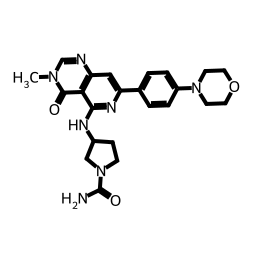 Cn1cnc2cc(-c3ccc(N4CCOCC4)cc3)nc(NC3CCN(C(N)=O)C3)c2c1=O